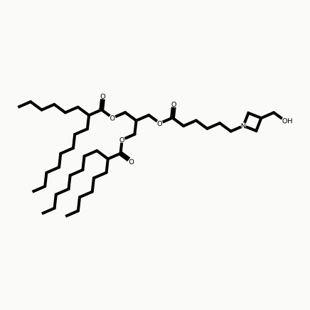 CCCCCCCCC(CCCCCC)C(=O)OCC(COC(=O)CCCCCN1CC(CO)C1)COC(=O)C(CCCCCC)CCCCCCCC